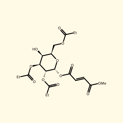 CCC(=O)OC[C@H]1O[C@H](OC(=O)/C=C/C(=O)OC)[C@H](OC(=O)CC)[C@@H](OC(=O)CC)[C@H]1O